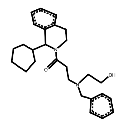 O=C(CCN(CCO)Cc1ccccc1)N1CCc2ccccc2C1C1CCCCC1